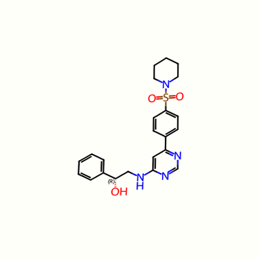 O=S(=O)(c1ccc(-c2cc(NC[C@H](O)c3ccccc3)ncn2)cc1)N1CCCCC1